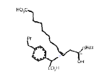 CC(C)Cc1ccc(C(C)C(=O)O)cc1.CCCCCC[C@@H](O)C/C=C\CCCCCCCC(=O)O